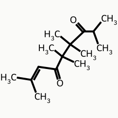 CC(C)=CC(=O)C(C)(C)C(C)(C)C(=O)C(C)C